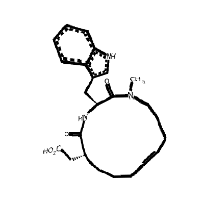 CN1CCCC=CCCC[C@H](CC(=O)O)C(=O)N[C@@H](Cc2c[nH]c3ccccc23)C1=O